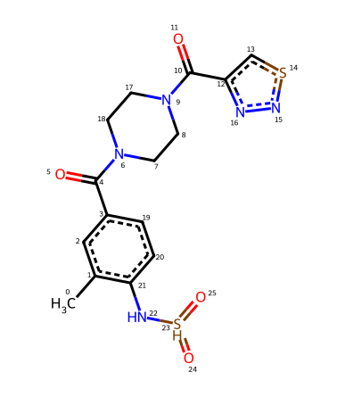 Cc1cc(C(=O)N2CCN(C(=O)c3csnn3)CC2)ccc1N[SH](=O)=O